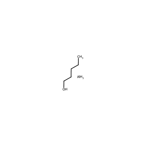 CCCCCO.[AlH3]